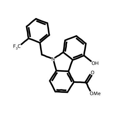 COC(=O)c1cccc2c1c1c(O)cccc1n2Cc1ccccc1C(F)(F)F